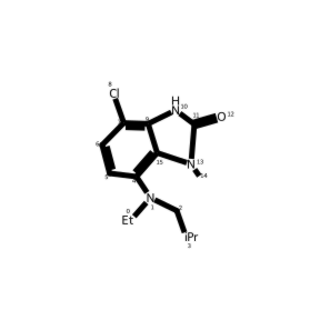 CCN(CC(C)C)c1ccc(Cl)c2[nH]c(=O)n(C)c12